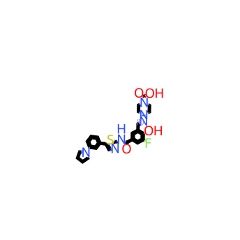 O=C(Nc1ncc(-c2cccc(N3CCCC3)c2)s1)c1cc(F)c(O)c(/C=N/N2CCN(C(=O)O)CC2)c1